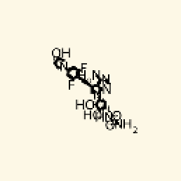 Nc1ncnc2c1c(C#Cc1c(F)cc(N3CC[C@@H](O)C3)cc1F)cn2[C@@H]1C[C@H](CNS(N)(=O)=O)[C@@H](O)[C@H]1O